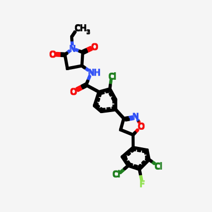 CCN1C(=O)CC(NC(=O)c2ccc(C3=NOC(c4cc(Cl)c(F)c(Cl)c4)C3)cc2Cl)C1=O